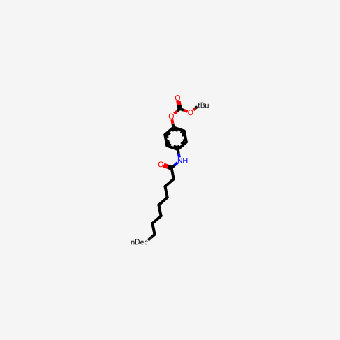 CCCCCCCCCCCCCCCCCC(=O)Nc1ccc(OC(=O)OC(C)(C)C)cc1